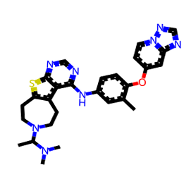 Cc1cc(Nc2ncnc3sc4c(c23)CCN(C(C)N(C)C)CC4)ccc1Oc1ccn2ncnc2c1